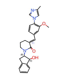 COc1cc(/C=C2\CCCN([C@@H]3Cc4ccccc4[C@@H]3O)C2=O)ccc1-n1cnc(C)c1